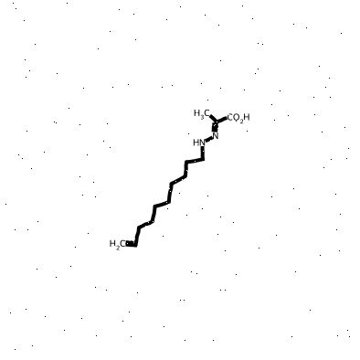 C=CCCCCCCCCNN=C(C)C(=O)O